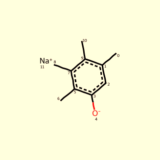 Cc1cc([O-])c(C)c(C)c1C.[Na+]